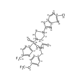 O=C(NCc1ccc(OC(F)(F)F)cc1)[C@H]1CN(c2nc3nc(Cl)ncc3s2)CCN1S(=O)(=O)c1ccc(C(F)(F)F)cc1